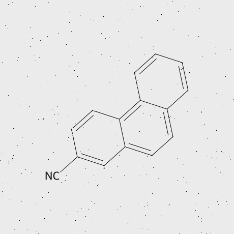 N#Cc1[c]c2ccc3ccccc3c2cc1